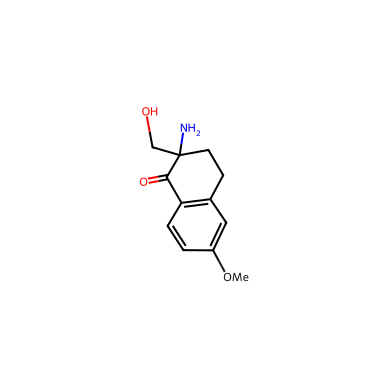 COc1ccc2c(c1)CCC(N)(CO)C2=O